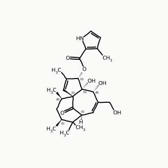 CC1=C[C@]23C(=O)[C@@H](C=C(CO)[C@@H](O)[C@]2(O)[C@H]1OC(=O)c1[nH]ccc1C)C(C)(C)[C@@H](C)C[C@H]3C